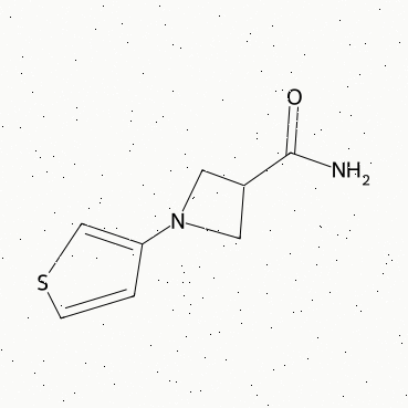 NC(=O)C1CN(c2ccsc2)C1